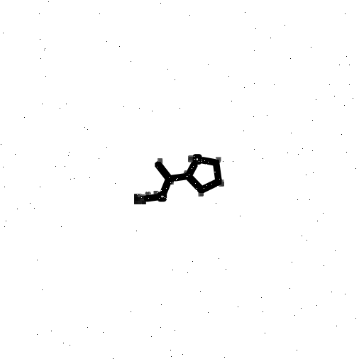 CCOC(C)C1CCCO1